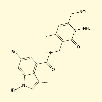 Cc1cc(CN=O)n(N)c(=O)c1CNC(=O)c1cc(Br)cc2c1c(C)cn2C(C)C